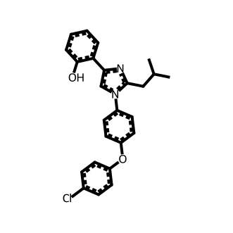 CC(C)Cc1nc(-c2ccccc2O)cn1-c1ccc(Oc2ccc(Cl)cc2)cc1